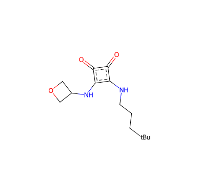 CC(C)(C)CCCNc1c(NC2COC2)c(=O)c1=O